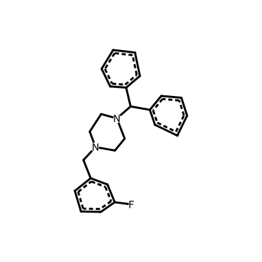 Fc1cccc(CN2CCN(C(c3ccccc3)c3ccccc3)CC2)c1